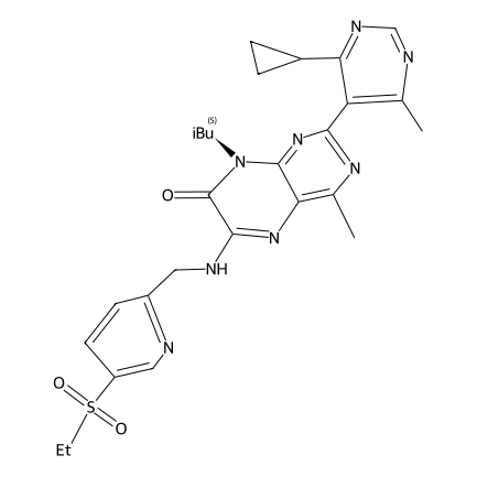 CC[C@H](C)n1c(=O)c(NCc2ccc(S(=O)(=O)CC)cn2)nc2c(C)nc(-c3c(C)ncnc3C3CC3)nc21